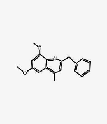 COc1cc(OC)c2nc(Cc3ccccc3)cc(C)c2c1